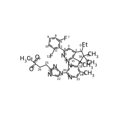 CCC1c2cc(-c3c(F)cccc3F)nnc2C(C)(c2nc(-n3cnc(CCS(C)(=O)=O)n3)ncc2C)C1(C)C